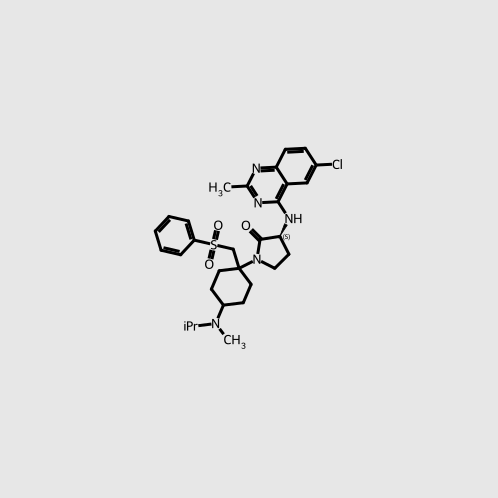 Cc1nc(N[C@H]2CCN(C3(CS(=O)(=O)c4ccccc4)CCC(N(C)C(C)C)CC3)C2=O)c2cc(Cl)ccc2n1